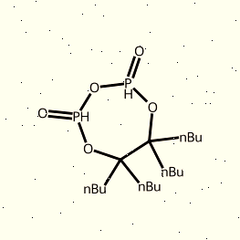 CCCCC1(CCCC)O[PH](=O)O[PH](=O)OC1(CCCC)CCCC